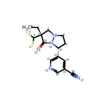 CC[C@@]1(C(F)F)CN2CC[C@H](c3cncc(C#N)c3)N2C1=O